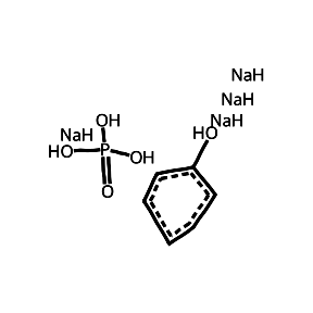 O=P(O)(O)O.Oc1ccccc1.[NaH].[NaH].[NaH].[NaH]